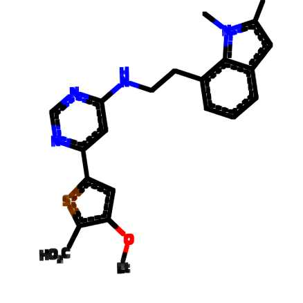 CCOc1cc(-c2cc(NCCc3cccc4cc(C)n(C)c34)ncn2)sc1C(=O)O